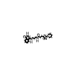 O=C(CCc1nc(N2CCCCC2)no1)NCCCNc1n[nH]c(=O)c2ccccc12